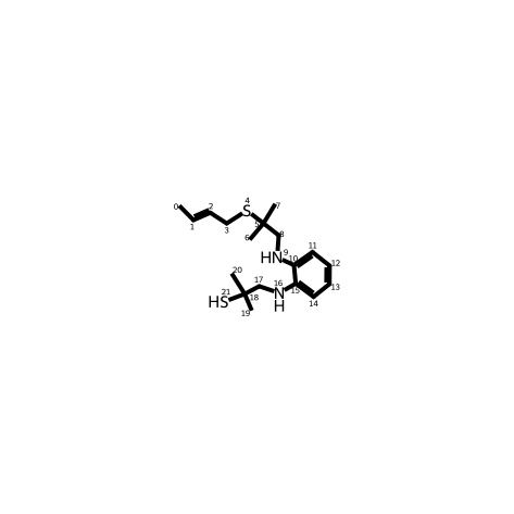 CC=CCSC(C)(C)CNc1ccccc1NCC(C)(C)S